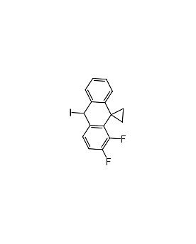 Fc1ccc2c(c1F)C1(CC1)c1ccccc1C2I